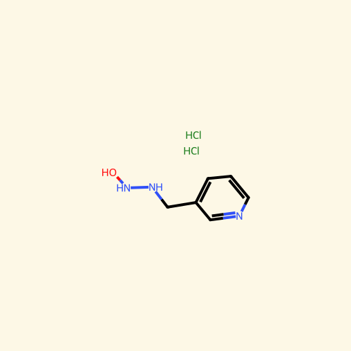 Cl.Cl.ONNCc1cccnc1